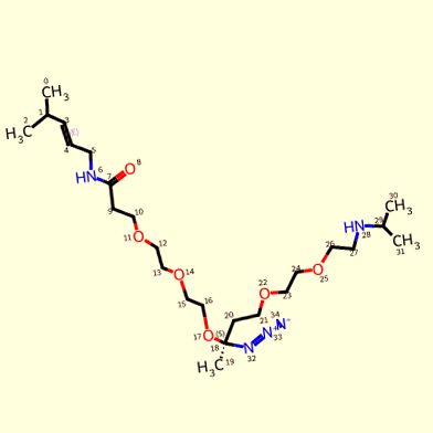 CC(C)/C=C/CNC(=O)CCOCCOCCO[C@@](C)(CCOCCOCCNC(C)C)N=[N+]=[N-]